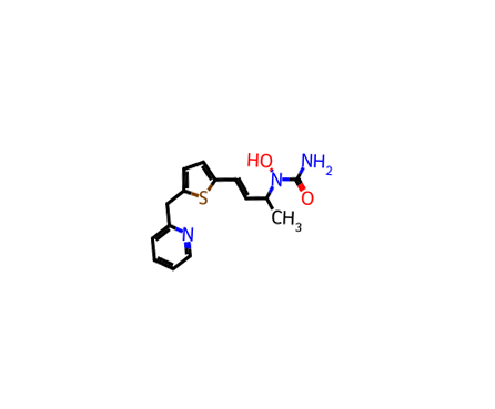 CC(C=Cc1ccc(Cc2ccccn2)s1)N(O)C(N)=O